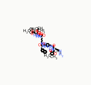 CC(N[C@@H](CCCCN)C(=O)NCC1CCC(C(=O)N[C@H](Cc2ccc3ccccc3c2)C(=O)NCCCC[C@H](NC(=O)N[C@@H](CCC(=O)OC(C)(C)C)C(=O)OC(C)(C)C)C(=O)O)CC1)=C1C(=O)CC(C)(C)CC1=O